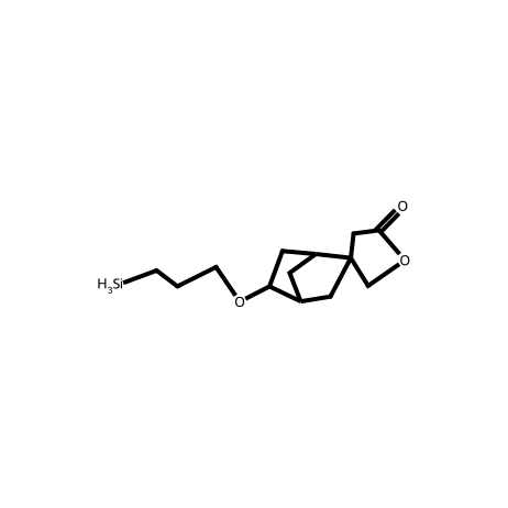 O=C1CC2(CO1)CC1CC2CC1OCCC[SiH3]